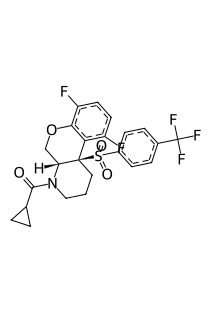 O=C(C1CC1)N1CCC[C@@]2(S(=O)(=O)c3ccc(C(F)(F)F)cc3)c3c(F)ccc(F)c3OC[C@@H]12